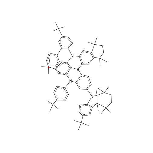 CC(C)(C)c1ccc(N2c3cc(N4c5ccc(C(C)(C)C)cc5C5(C)C(C)(C)CCC(C)(C)C45C)ccc3B3c4cc5c(cc4N(c4ccc(C(C)(C)C)cc4-c4ccccc4)c4cc(C(C)(C)C)cc2c43)C(C)(C)CCC5(C)C)cc1